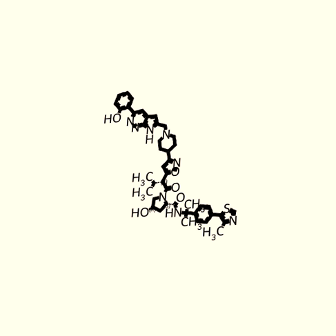 Cc1ncsc1-c1ccc(C(C)(C)NC(=O)[C@@H]2C[C@@H](O)CN2C(=O)[C@@H](c2cc(C3CCN(Cc4cc5cc(-c6ccccc6O)nnc5[nH]4)CC3)no2)C(C)C)cc1